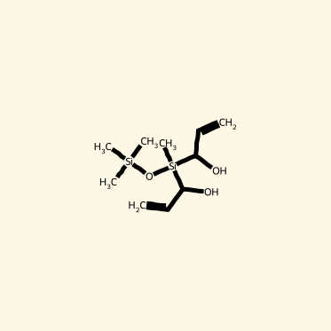 C=CC(O)[Si](C)(O[Si](C)(C)C)C(O)C=C